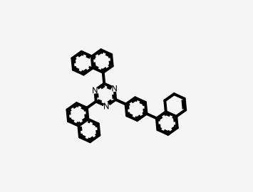 C1=Cc2cccc(-c3ccc(-c4nc(-c5cccc6ccccc56)nc(-c5cccc6ccccc56)n4)cc3)c2CC1